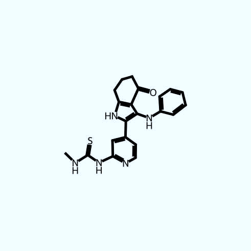 CNC(=S)Nc1cc(-c2[nH]c3c(c2Nc2ccccc2)C(=O)CCC3)ccn1